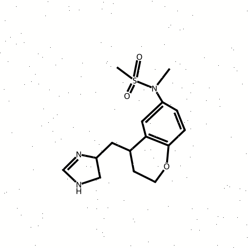 CN(c1ccc2c(c1)C(CC1CNC=N1)CCO2)S(C)(=O)=O